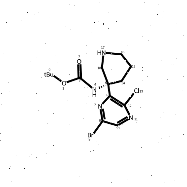 CC(C)(C)OC(=O)N[C@@]1(c2nc(Br)cnc2Cl)CCCNC1